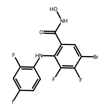 O=C(NO)c1cc(Br)c(F)c(F)c1Nc1ccc(I)cc1F